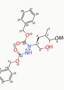 COCC(C)C[C@@H](CO)N(NC(=O)OCc1ccccc1)C(=O)OCc1ccccc1